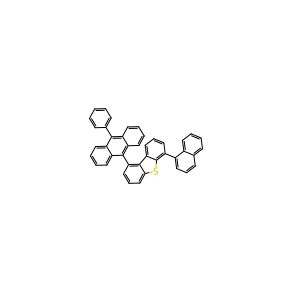 c1ccc(-c2c3ccccc3c(-c3cccc4sc5c(-c6cccc7ccccc67)cccc5c34)c3ccccc23)cc1